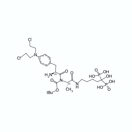 C[C@@H](C(=O)NCCCCC(O)(P(=O)(O)O)P(=O)(O)O)N(C(=O)OC(C)(C)C)C(=O)[C@@H](N)Cc1ccc(N(CCCl)CCCl)cc1